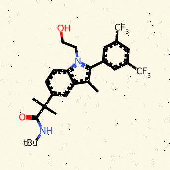 Cc1c(-c2cc(C(F)(F)F)cc(C(F)(F)F)c2)n(CCO)c2ccc(C(C)(C)C(=O)NC(C)(C)C)cc12